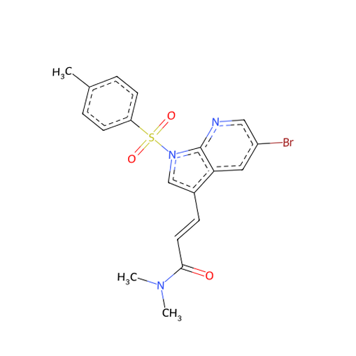 Cc1ccc(S(=O)(=O)n2cc(C=CC(=O)N(C)C)c3cc(Br)cnc32)cc1